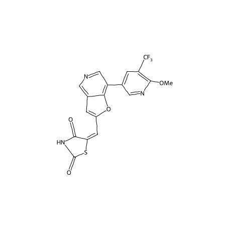 COc1ncc(-c2cncc3cc(/C=C4/SC(=O)NC4=O)oc23)cc1C(F)(F)F